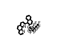 O=S(=O)(Oc1ccc2ccccc2c1-c1ccc2ccc3cccnc3c2n1)C(F)(F)C(F)(F)C(F)(F)C(F)(F)F